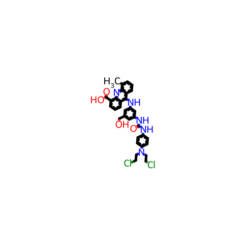 Cc1cccc2c(Nc3cc(CO)cc(NC(=O)Nc4ccc(N(CCCl)CCCl)cc4)c3)c3cccc(C(=O)O)c3nc12